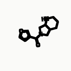 O=C(c1ccoc1)N1CC2CCCNC2C1